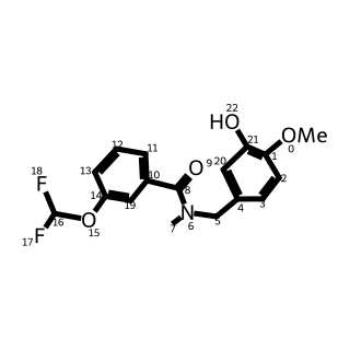 COc1ccc(CN(C)C(=O)c2cccc(OC(F)F)c2)cc1O